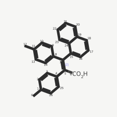 Cc1ccc(/C(C(=O)O)=C(\c2ccc(C)cc2)c2cccc3ccccc23)cc1